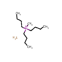 CCCC[PH](C)(CCCC)CCCC.S